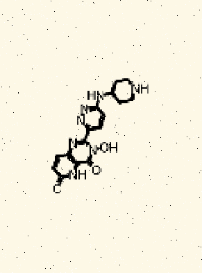 O=c1ccc2nc(-c3ccc(NC4CCNCC4)nn3)n(O)c(=O)c2[nH]1